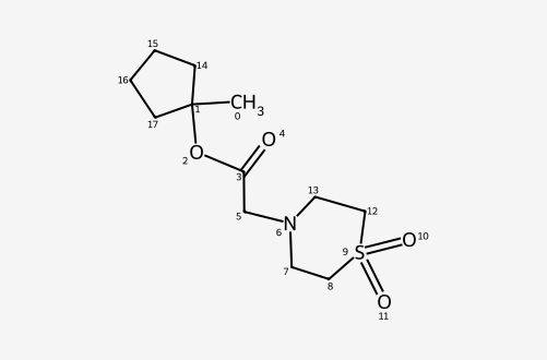 CC1(OC(=O)CN2CCS(=O)(=O)CC2)CCCC1